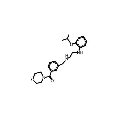 CC(C)Oc1ccccc1NCCNCc1cccc(C(=O)N2CCOCC2)c1